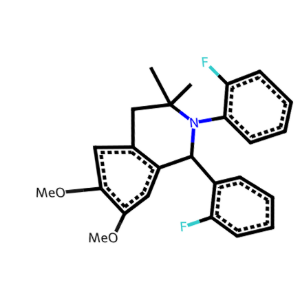 COc1cc2c(cc1OC)C(c1ccccc1F)N(c1ccccc1F)C(C)(C)C2